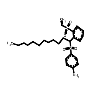 C=CS(=O)(=O)c1ccccc1C(CCCCCCCCCCC)S(=O)(=O)c1ccc(N)cc1